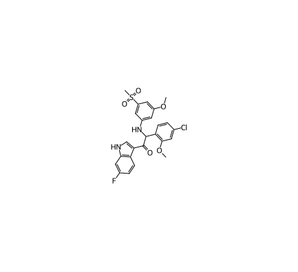 COc1cc(NC(C(=O)c2c[nH]c3cc(F)ccc23)c2ccc(Cl)cc2OC)cc(S(C)(=O)=O)c1